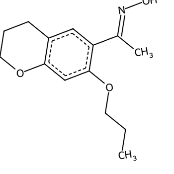 CCCOc1cc2c(cc1C(C)=NO)CCCO2